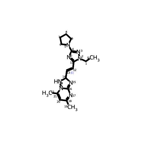 CCn1nc(N2CCCC2)nc1/C=C/C1N=C2N=C(C)C=C(C)N2N1